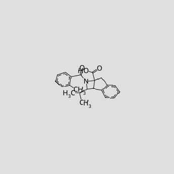 Cc1ccccc1C(=O)N1C(C(C)C)C2c3ccccc3CC21C(=O)O